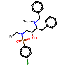 CC(C)CN(C[C@@H](O)[C@H](Cc1ccccc1)N(Cc1ccccc1)C(=O)O)S(=O)(=O)c1ccc(F)cc1